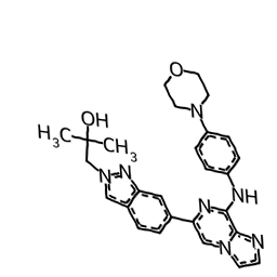 CC(C)(O)Cn1cc2ccc(-c3cn4ccnc4c(Nc4ccc(N5CCOCC5)cc4)n3)cc2n1